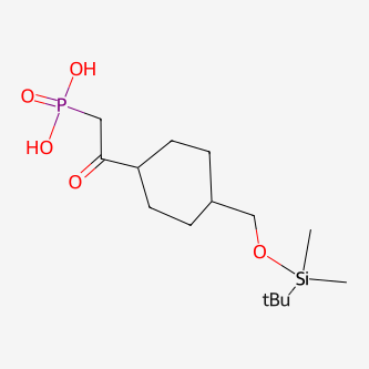 CC(C)(C)[Si](C)(C)OCC1CCC(C(=O)CP(=O)(O)O)CC1